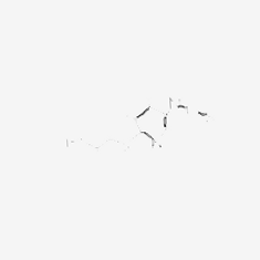 CC(C)CCSc1ccc(N=C=S)cn1